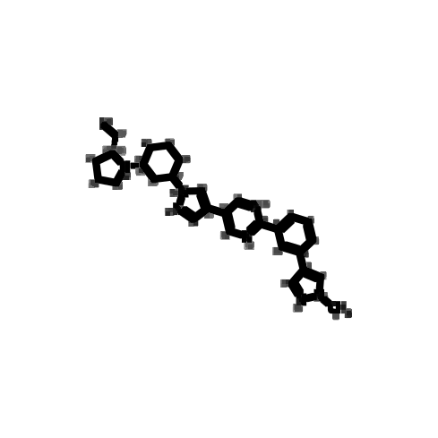 Cn1cc(-c2cccc(-c3ncc(-c4cnn(C5CCC[C@@H](N6CCC[C@@H]6CI)C5)c4)cn3)c2)cn1